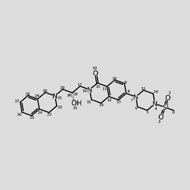 CS(=O)(=O)N1CCN(c2ccc3c(c2)CCN(C[C@H](O)CN2CCc4ccccc4C2)C3=O)CC1